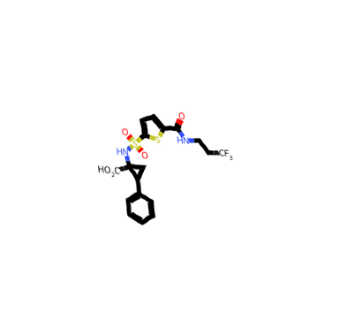 O=C(NCCC(F)(F)F)c1ccc(S(=O)(=O)NC2(C(=O)O)CC2c2ccccc2)s1